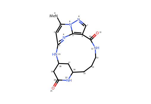 CNc1cc2nc3c(cnn13)C(=O)NCCCC1CC(CC(=O)N1)N2